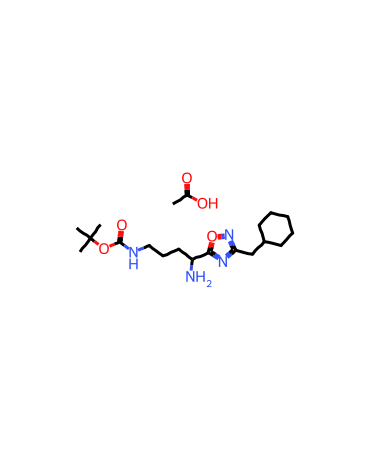 CC(=O)O.CC(C)(C)OC(=O)NCCCC(N)c1nc(CC2CCCCC2)no1